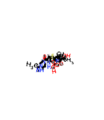 CC(=N)N1CCCN(C(=O)C2CC(SC3=C(OC(=O)O)N4C(=O)C(C(C)O)[C@@H]4C3C)CN2)CC1